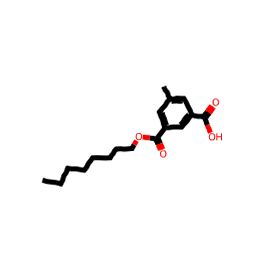 CCCCCCCCOC(=O)c1cc(C)cc(C(=O)O)c1